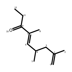 C=C(C)CC(C)/C=C(\C)C(=O)CC